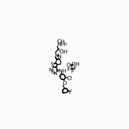 CNC[C@@H](O)Cn1cc2c(n1)CCc1c-2sc2ncnc(Nc3ccc(OCc4cccc(F)c4)c(Cl)c3)c12.O=C(O)C(F)(F)F